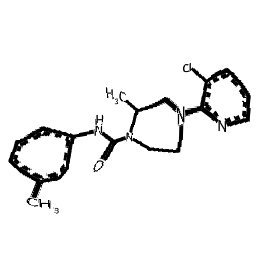 Cc1cccc(NC(=O)N2CCN(c3ncccc3Cl)CC2C)c1